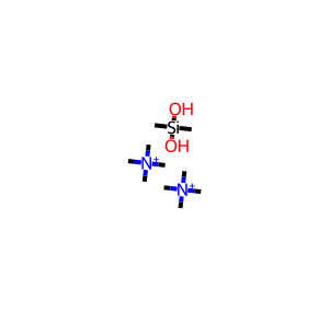 C[N+](C)(C)C.C[N+](C)(C)C.C[Si](C)(O)O